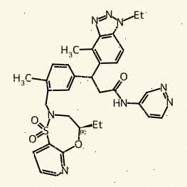 CC[C@@H]1CN(Cc2cc(C(CC(=O)Nc3ccnnc3)c3ccc4c(nnn4CC)c3C)ccc2C)S(=O)(=O)c2cccnc2O1